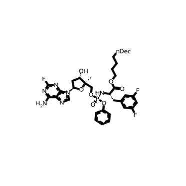 CCCCCCCCCCCCCCOC(=O)[C@H](Cc1cc(F)cc(F)c1)N[P@](=O)(OC[C@@]1(C)O[C@@H](n2cnc3c(N)nc(F)nc32)C[C@@H]1O)Oc1ccccc1